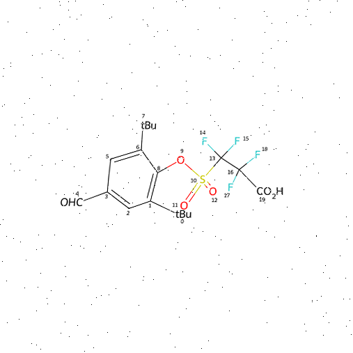 CC(C)(C)c1cc(C=O)cc(C(C)(C)C)c1OS(=O)(=O)C(F)(F)C(F)(F)C(=O)O